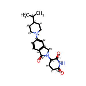 CC(C)C1CCN(c2ccc3c(c2)CN(C2CCC(=O)NC2=O)C3=O)CC1